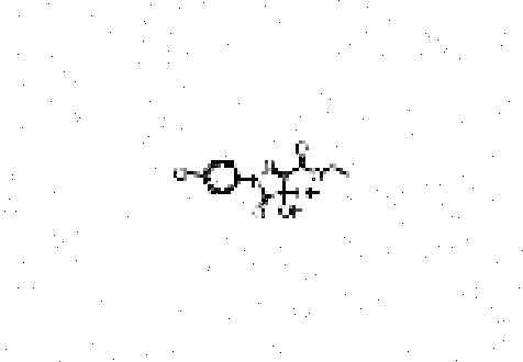 CCOC(=O)C1=NN(c2ccc(Cl)cc2)C(=O)C1(O)O